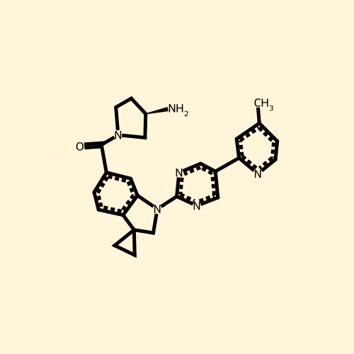 Cc1ccnc(-c2cnc(N3CC4(CC4)c4ccc(C(=O)N5CC[C@@H](N)C5)cc43)nc2)c1